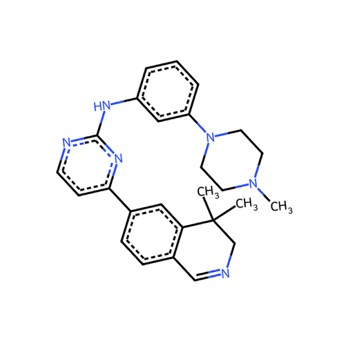 CN1CCN(c2cccc(Nc3nccc(-c4ccc5c(c4)C(C)(C)CN=C5)n3)c2)CC1